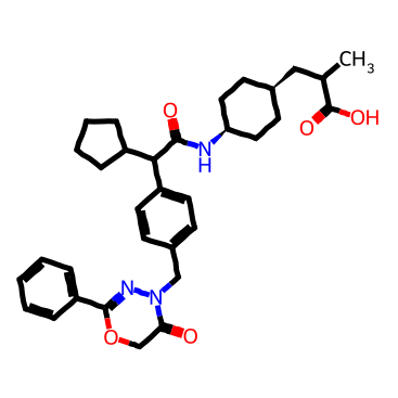 CC(C[C@H]1CC[C@@H](NC(=O)C(c2ccc(CN3N=C(c4ccccc4)OCC3=O)cc2)C2CCCC2)CC1)C(=O)O